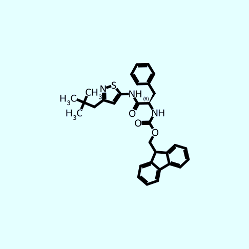 CC(C)(C)Cc1cc(NC(=O)[C@@H](Cc2ccccc2)NC(=O)OCC2c3ccccc3-c3ccccc32)sn1